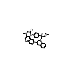 C/N=C/C(C)(C)c1ccc(N2C(=O)CN(C)c3cnc4ccc(-c5cnc6ccccc6c5)cc4c32)cc1